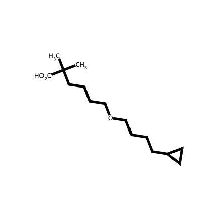 CC(C)(CCCCOCCCCC1CC1)C(=O)O